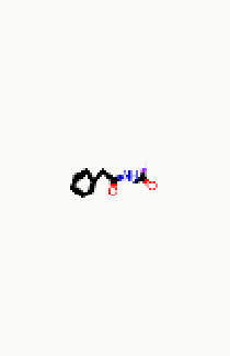 O=C(I)CNC(=O)Cc1ccccc1